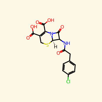 O=C(Cc1ccc(Cl)cc1)NC1C(=O)N2C(C(=O)O)=C(C(=O)O)CS[C@H]12